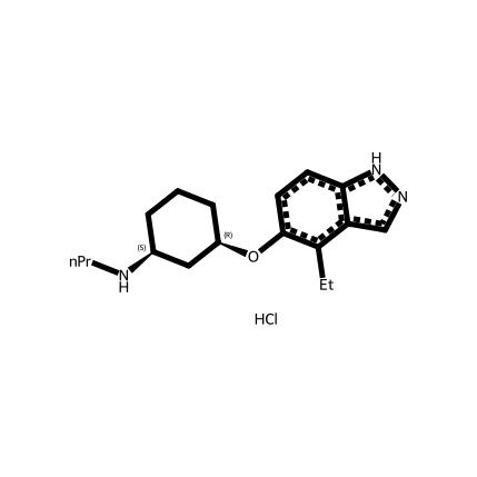 CCCN[C@H]1CCC[C@@H](Oc2ccc3[nH]ncc3c2CC)C1.Cl